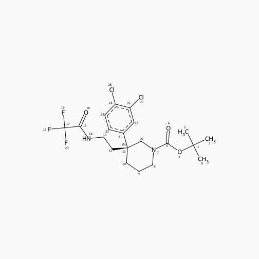 CC(C)(C)OC(=O)N1CCC[C@](CCNC(=O)C(F)(F)F)(c2ccc(Cl)c(Cl)c2)C1